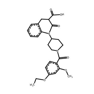 CCOc1ccc(C(=O)N2CCC(N3C(=O)C(C(=O)O)Cc4ccccc43)CC2)c(OC)c1